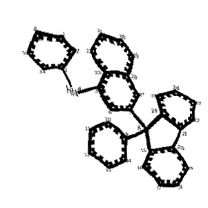 c1ccc(Nc2cc(C3(c4ccccc4)c4ccccc4-c4ccccc43)cc3ccccc23)cc1